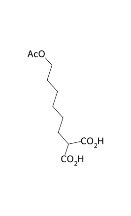 CC(=O)OCCCCCCC(C(=O)O)C(=O)O